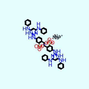 O=S(=O)([O-])c1cc(NN2N=C(Nc3ccccc3)C=C(Nc3ccccc3)N2)ccc1/C=C/c1ccc(NN2N=C(Nc3ccccc3)C=C(Nc3ccccc3)N2)cc1S(=O)(=O)[O-].[Na+].[Na+]